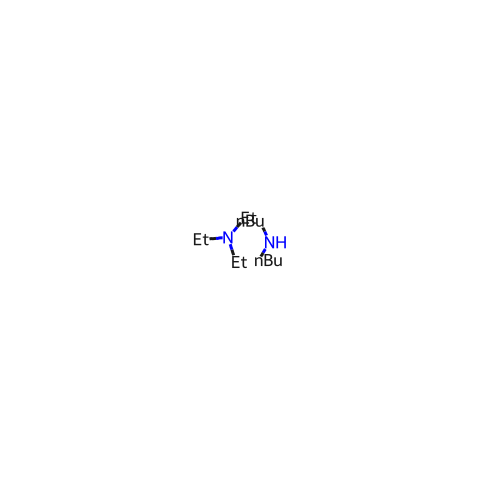 CCCCNCCCC.CCN(CC)CC